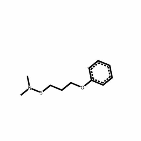 CN(C)SCCCOc1[c]cccc1